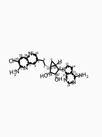 Nc1nc2cc(CC[C@]34C[C@@H]3[C@@H](n3ccc5c(N)ncnc53)[C@H](O)[C@@H]4O)cnc2cc1Cl